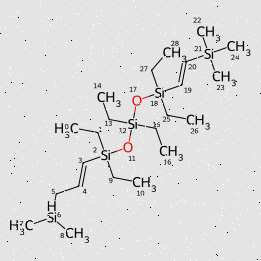 CC[Si](C=CC[SiH](C)C)(CC)O[Si](CC)(CC)O[Si](C=C[Si](C)(C)C)(CC)CC